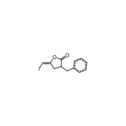 O=C1O/C(=C/I)CC1Cc1ccccc1